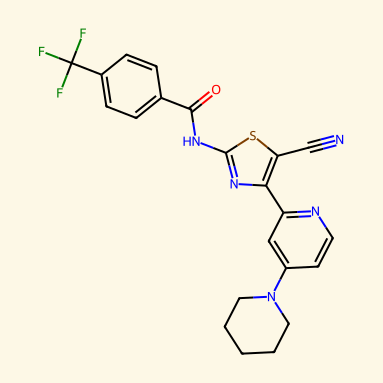 N#Cc1sc(NC(=O)c2ccc(C(F)(F)F)cc2)nc1-c1cc(N2CCCCC2)ccn1